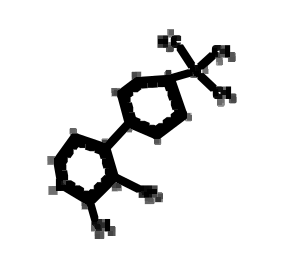 C[Si](C)(C)c1ccc(-c2ccnc(N)c2N)cc1